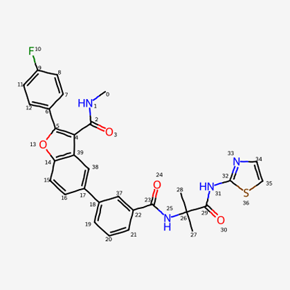 CNC(=O)c1c(-c2ccc(F)cc2)oc2ccc(-c3cccc(C(=O)NC(C)(C)C(=O)Nc4nccs4)c3)cc12